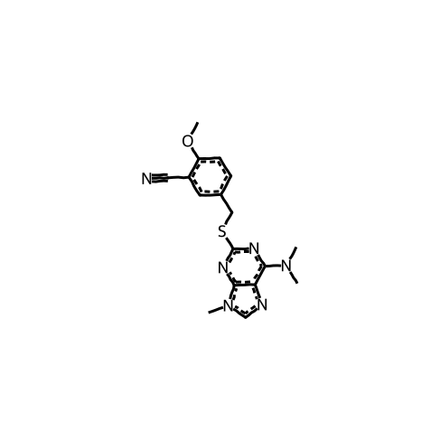 COc1ccc(CSc2nc(N(C)C)c3ncn(C)c3n2)cc1C#N